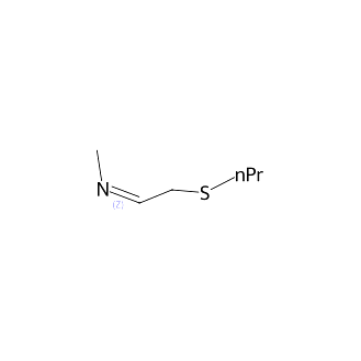 CCCSC/C=N\C